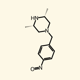 C[C@@H]1CN(Cc2ccc(N=O)cc2)C[C@H](C)N1